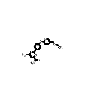 NC(=O)c1cc(N)nc(-c2ccc(Oc3ccc(COCC(F)(F)F)cn3)cc2)n1